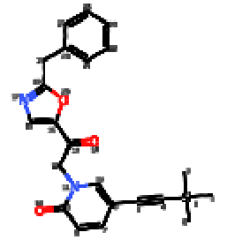 C[Si](C)(C)C#Cc1ccc(=O)n(CC(=O)c2cnc(Cc3ccccc3)o2)c1